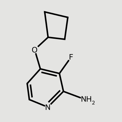 Nc1nccc(OC2CCC2)c1F